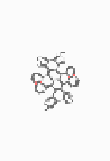 c1ccc(-c2c3c(-c4ccccc4)c4c5cscc5c5cscc5c4c(-c4ccccc4)c3c(-c3ccccc3)c3c4cscc4c4cscc4c23)cc1